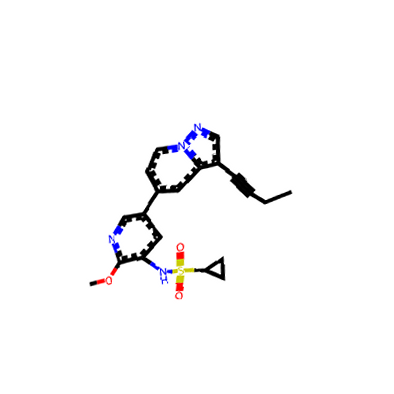 CCC#Cc1cnn2ccc(-c3cnc(OC)c(NS(=O)(=O)C4CC4)c3)cc12